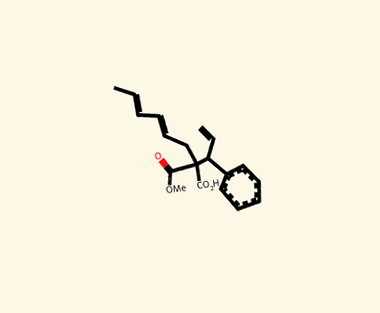 C=CC(c1ccccc1)C(C/C=C/C=C/C)(C(=O)O)C(=O)OC